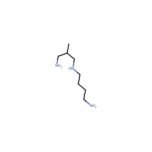 CC(CN)CNCCCCN